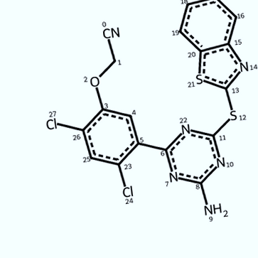 N#CCOc1cc(-c2nc(N)nc(Sc3nc4ccccc4s3)n2)c(Cl)cc1Cl